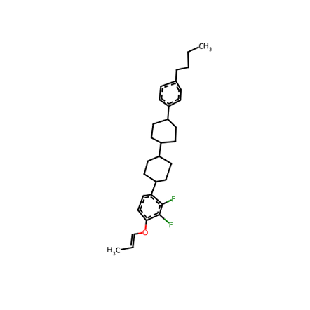 C/C=C/Oc1ccc(C2CCC(C3CCC(c4ccc(CCCC)cc4)CC3)CC2)c(F)c1F